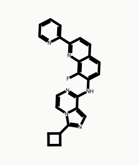 Fc1c(Nc2nccn3c(C4CCC4)ncc23)ccc2ccc(-c3ccccn3)nc12